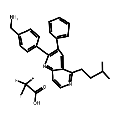 CC(C)CCc1nccc2nc(-c3ccc(CN)cc3)c(-c3ccccc3)cc12.O=C(O)C(F)(F)F